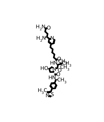 Cc1ncsc1-c1ccc([C@H](C)NC(=O)[C@@H]2C[C@@H](O)CN2C(=O)[C@@H](NC(=O)CCCCCc2ccnc([C@@H](N)CCC(N)=O)c2)C(C)(C)C)cc1